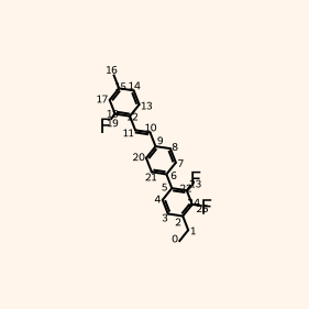 CCc1ccc(-c2ccc(/C=C/c3ccc(C)cc3F)cc2)c(F)c1F